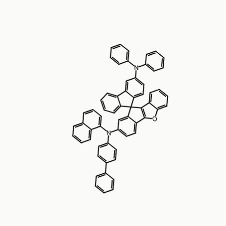 c1ccc(-c2ccc(N(c3ccc4c(c3)C3(c5ccccc5-c5cc(N(c6ccccc6)c6ccccc6)ccc53)c3c-4oc4ccccc34)c3cccc4ccccc34)cc2)cc1